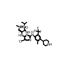 CN/C=C(/Nc1nc(Nc2cc(C)c(C3CCNCC3)cc2C(F)(F)F)ncc1Cl)C(=N)S(=O)(=O)C(C)C